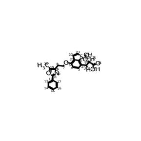 [3H]C(c1ccc(OCCc2nc(-c3ccccc3)oc2C)c2ccsc12)[C@]([3H])(OC)C(=O)O